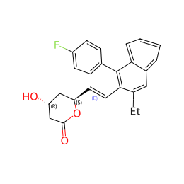 CCc1cc2ccccc2c(-c2ccc(F)cc2)c1/C=C/[C@@H]1C[C@@H](O)CC(=O)O1